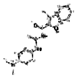 Cc1c(C(=O)NC(=S)Nc2ccc(N(C)C)cc2)oc2ccccc12